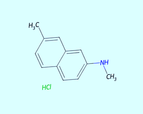 CNc1ccc2ccc(C)cc2c1.Cl